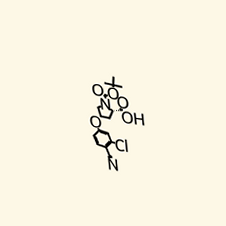 CC(C)(C)OC(=O)N1C[C@H](Oc2ccc(C#N)c(Cl)c2)C[C@H]1C(=O)O